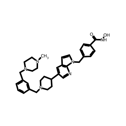 CN1CCN(Cc2cccc(CN3CCC(c4cnc5c(ccn5Cc5ccc(C(=O)NO)cc5)c4)CC3)c2)CC1